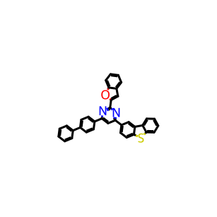 c1ccc(-c2ccc(-c3cc(-c4ccc5sc6ccccc6c5c4)nc(-c4cc5ccccc5o4)n3)cc2)cc1